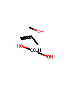 C=CC.CO.CO.O=C(O)O